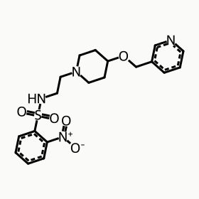 O=[N+]([O-])c1ccccc1S(=O)(=O)NCCN1CCC(OCc2cccnc2)CC1